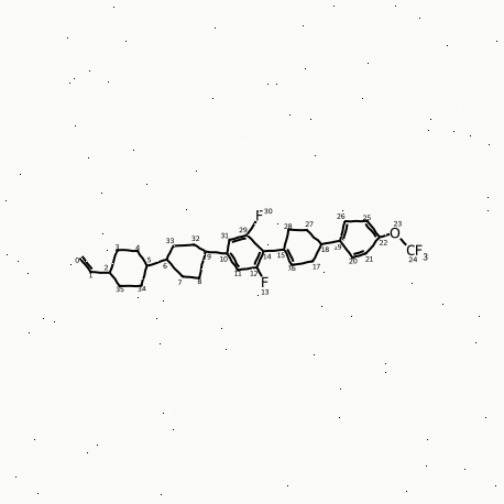 C=CC1CCC(C2CCC(c3cc(F)c(C4=CCC(c5ccc(OC(F)(F)F)cc5)CC4)c(F)c3)CC2)CC1